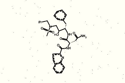 CC(C)CN(C[C@H](O)[C@H](Cc1ccccc1)NC(=O)[C@H](CC(N)=O)NC(=O)c1ccc2ccccc2n1)S(C)(=O)=O